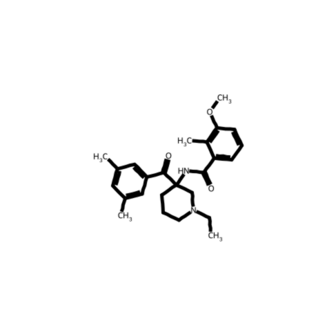 CCN1CCCC(NC(=O)c2cccc(OC)c2C)(C(=O)c2cc(C)cc(C)c2)C1